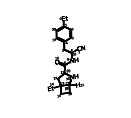 CCc1ccc(C[C@@H](C#N)NC(=O)[C@@H]2CC3(CC)CC[C@H]3N2)cc1